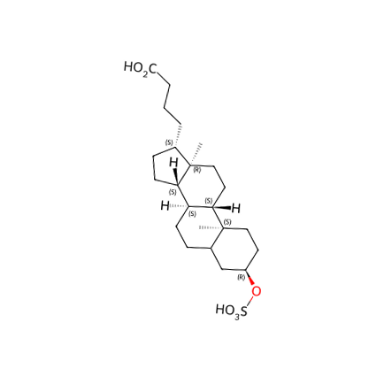 C[C@]12CC[C@H]3[C@@H](CCC4C[C@H](OS(=O)(=O)O)CC[C@@]43C)[C@@H]1CC[C@@H]2CCCC(=O)O